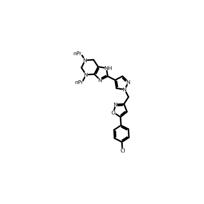 CCCN1Cc2[nH]c(-c3cnn(Cc4cc(-c5ccc(Cl)cc5)on4)c3)nc2N(CCC)C1